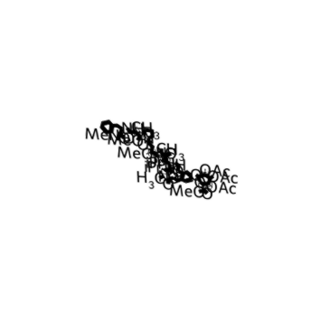 C#CCOc1cc(OC2O[C@H](C(=O)OC)[C@@H](OC(C)=O)C(OC(C)=O)[C@H]2OC(C)=O)ccc1COC(=O)N(C)[C@H](C(=O)N[C@H](C(=O)N(C)[C@@H](C(C)CC)[C@@H](CC(=O)N1CCC[C@H]1C(OC)[C@@H](C)C(=O)NC(Cc1ccccc1)C(=O)NC)OC)C(C)C)C(C)C